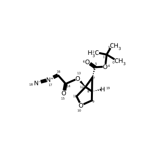 CC(C)(C)OC(=O)[C@@H]1[C@H]2COC[C@@]21OC(=O)C=[N+]=[N-]